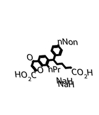 CCCCCCCCCc1ccc(C(CCCCC(=O)O)c2ccc3c(=O)cc(C(=O)O)oc3c2CCC)cc1.[NaH].[NaH]